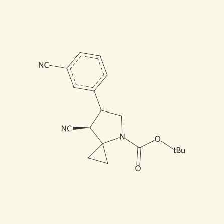 CC(C)(C)OC(=O)N1CC(c2cccc(C#N)c2)[C@H](C#N)C12CC2